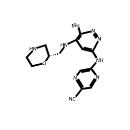 CC(C)(C)c1nnc(Nc2cnc(C#N)cn2)cc1NC[C@H]1CNCCO1